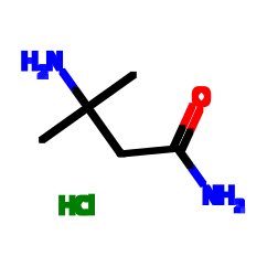 CC(C)(N)CC(N)=O.Cl